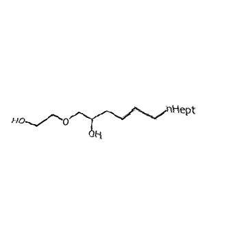 CCCCCCCCCCCC(O)COCCO